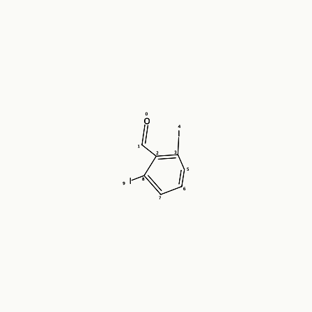 O=Cc1c(I)cccc1I